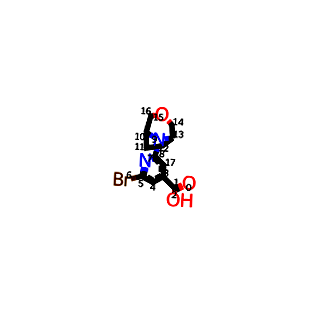 O=C(O)c1cc(Br)nc(N2C3CCC2COC3)c1